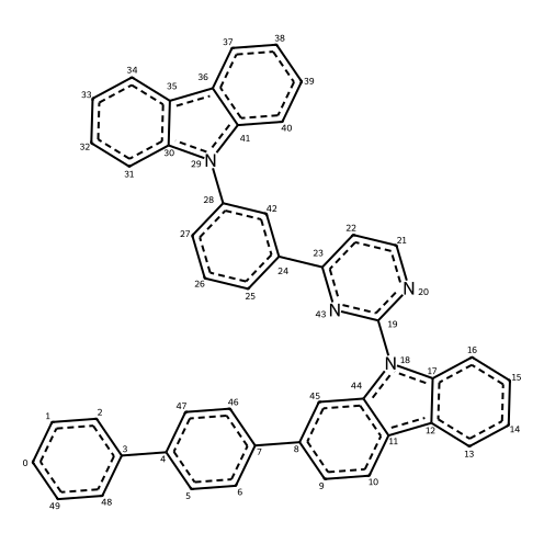 c1ccc(-c2ccc(-c3ccc4c5ccccc5n(-c5nccc(-c6cccc(-n7c8ccccc8c8ccccc87)c6)n5)c4c3)cc2)cc1